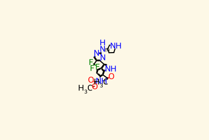 COC(=O)Nc1ccc2c(-c3nc(N[C@H]4CCCNC4)ncc3C(F)(F)F)c[nH]c2c1C(C)=O